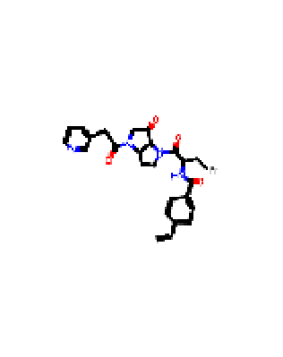 C=Cc1ccc(C(=O)NC(CC(C)C)C(=O)N2CCC3C2C(=O)CN3C(=O)Cc2cccnc2)cc1